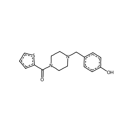 O=C(c1cccs1)N1CCN(Cc2ccc(O)cc2)CC1